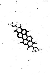 CC(C)CC(C)N1C(=O)c2ccc3c4c(Cl)cc5c6c(ccc(c7c(Cl)cc(c2c37)C1=O)c64)C(=O)N(C(C)CC(C)C)C5=O